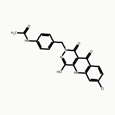 CC(=O)Nc1ccc(Cn2nc(O)c3[nH]c4cc(Cl)ccc4c(=O)c3c2=O)cc1